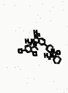 CC(c1ccc(Cl)cc1Cl)N(N)c1cc(C2=CCN(C(=O)C3(N)CCCCC3)CC2)ccc1N